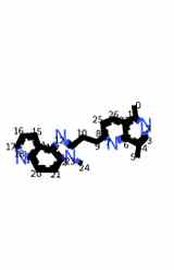 Cc1ncc(C)c2nc(CCc3nc4c5cccnc5ccc4n3C)ccc12